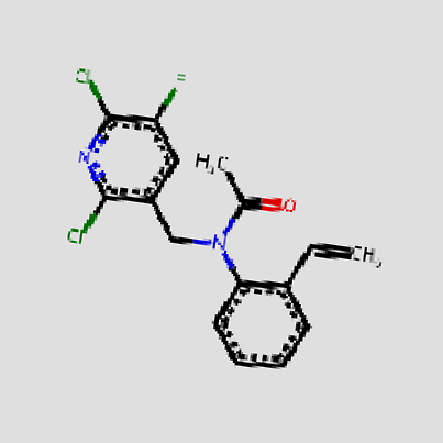 C=Cc1ccccc1N(Cc1cc(F)c(Cl)nc1Cl)C(C)=O